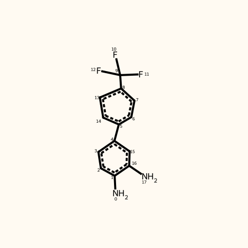 Nc1ccc(-c2ccc(C(F)(F)F)cc2)cc1N